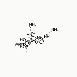 CN[C@@H]1[C@@H](O)[C@@H](O[C@@H]2[C@@H](O)[C@H](O[C@@H]3CCC=C(CNCCCCN)O3)[C@@H](N)C[C@H]2NC(=O)CCCN)OC[C@]1(C)O